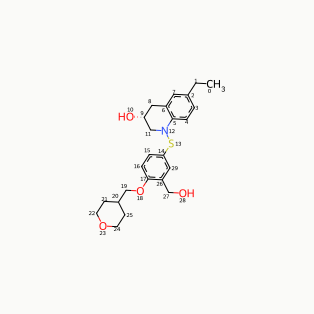 CCc1ccc2c(c1)C[C@@H](O)CN2Sc1ccc(OCC2CCOCC2)c(CO)c1